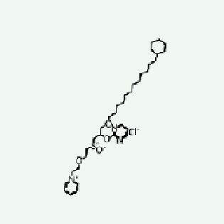 [Cl-].[O-][S+](CCOCC[n+]1ccccc1)CC(COCCCCCCCCCCCCC1CCCCC1)Oc1ncccn1